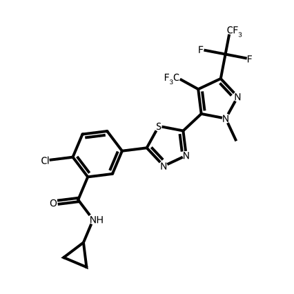 Cn1nc(C(F)(F)C(F)(F)F)c(C(F)(F)F)c1-c1nnc(-c2ccc(Cl)c(C(=O)NC3CC3)c2)s1